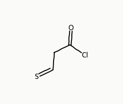 O=C(Cl)CC=S